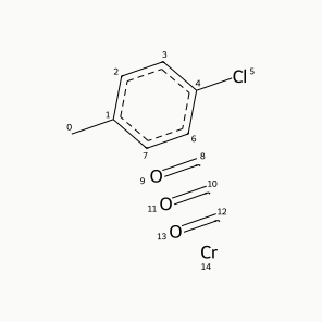 Cc1ccc(Cl)cc1.[C]=O.[C]=O.[C]=O.[Cr]